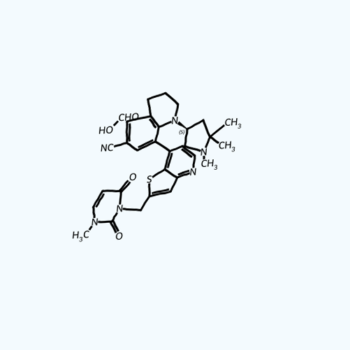 CN1C[C@@H](N2CCCc3cc(C#N)cc(-c4ccnc5cc(Cn6c(=O)ccn(C)c6=O)sc45)c32)CC1(C)C.O=CO